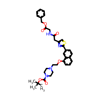 CC(C)(C)OC(=O)N1CCN(CCOc2cccc3ccc(-c4nc(CC(=O)NCC(=O)OCc5ccccc5)cs4)cc23)CC1